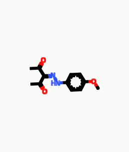 COc1ccc(NN=C(C(C)=O)C(C)=O)cc1